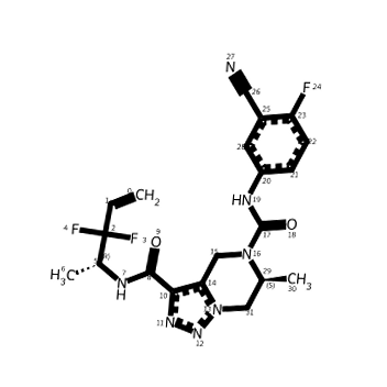 C=CC(F)(F)[C@@H](C)NC(=O)c1nnn2c1CN(C(=O)Nc1ccc(F)c(C#N)c1)[C@@H](C)C2